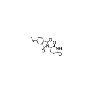 CSc1ccc2c(c1)C(=O)N([C@@H]1CCC(=O)NC1=O)C2=O